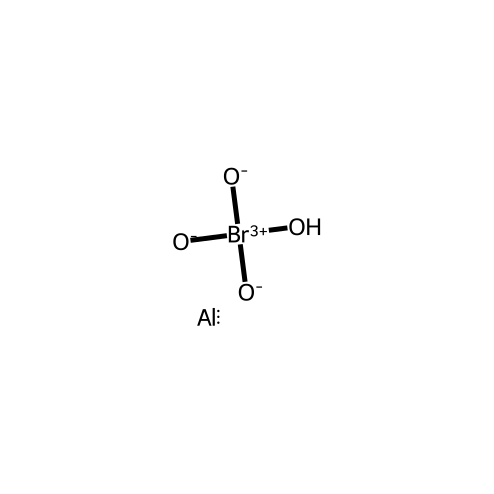 [Al].[O-][Br+3]([O-])([O-])O